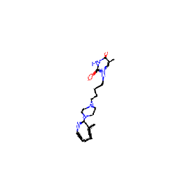 Cc1cccnc1N1CCN(CCCCn2cc(C)c(=O)[nH]c2=O)CC1